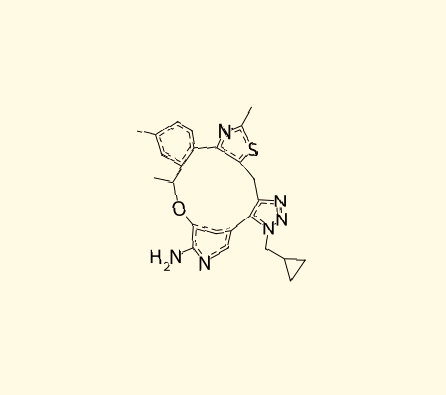 Cc1ccc2c(c1)C(C)Oc1cc(cnc1N)-c1c(nnn1CC1CC1)Cc1sc(C)nc1-2